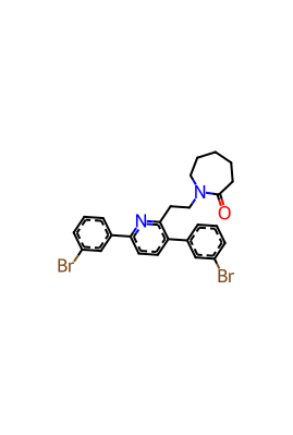 O=C1CCCCCN1CCc1nc(-c2cccc(Br)c2)ccc1-c1cccc(Br)c1